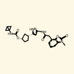 Cn1c(=O)oc2c(CC(=O)Nc3cc([C@@H]4CC[C@H](OC(=O)NC56CC5C6)C4)[nH]n3)cccc21